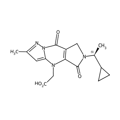 Cc1cc2n(CC(=O)O)c3c(c(=O)n2n1)CN([C@@H](C)C1CC1)C3=O